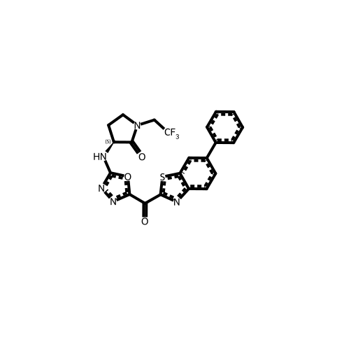 O=C(c1nnc(N[C@H]2CCN(CC(F)(F)F)C2=O)o1)c1nc2ccc(-c3ccccc3)cc2s1